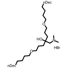 Br.CCCCCCCCCCCCCCOCCCC(O)(CCCOCCCCCCCCCCCCCC)CN(C)C